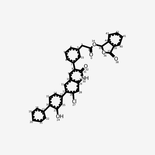 O=C(Cc1cccc(-c2cc3cc(-c4ccc(-c5ccccc5)c(O)c4)c(Cl)cc3[nH]c2=O)c1)OC1OC(=O)c2ccccc21